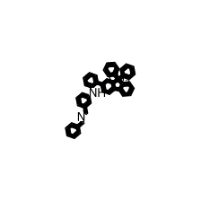 C[C@@]12CC(c3ccccc3Nc3cccc(/C=N/Cc4ccccc4)c3)=CC=C1c1ccccc1C2(c1ccccc1)c1ccccc1